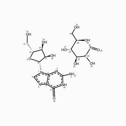 Nc1nc2c(ncn2[C@@H]2O[C@H](CO)[C@@H](O)[C@H]2O)c(=O)[nH]1.O=PP(O)[C@@H](O)[C@H](O)[C@H](O)CO